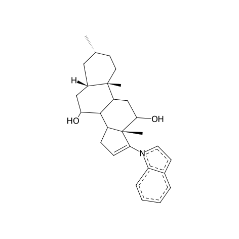 C[C@@H]1CC[C@]2(C)C3CC(O)[C@]4(C)C(n5ccc6ccccc65)=CCC4C3C(O)C[C@@H]2C1